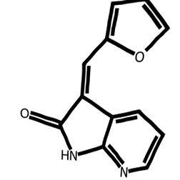 O=C1Nc2ncccc2/C1=C\c1ccco1